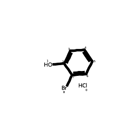 Cl.Oc1ccccc1Br